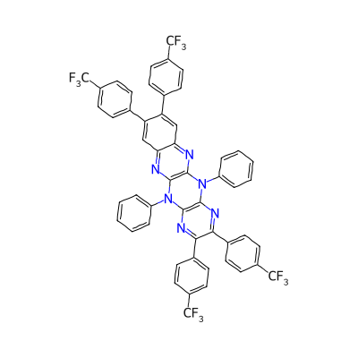 FC(F)(F)c1ccc(-c2cc3nc4c(nc3cc2-c2ccc(C(F)(F)F)cc2)N(c2ccccc2)c2nc(-c3ccc(C(F)(F)F)cc3)c(-c3ccc(C(F)(F)F)cc3)nc2N4c2ccccc2)cc1